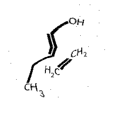 C=C.CCC=CO